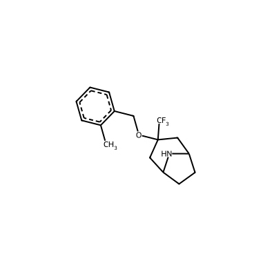 Cc1ccccc1COC1(C(F)(F)F)CC2CCC(C1)N2